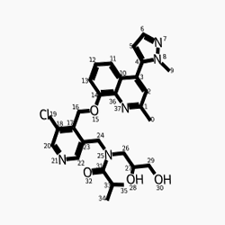 Cc1cc(-c2ccnn2C)c2cccc(OCc3c(Cl)cncc3CN(CC(O)CO)C(=O)C(C)C)c2n1